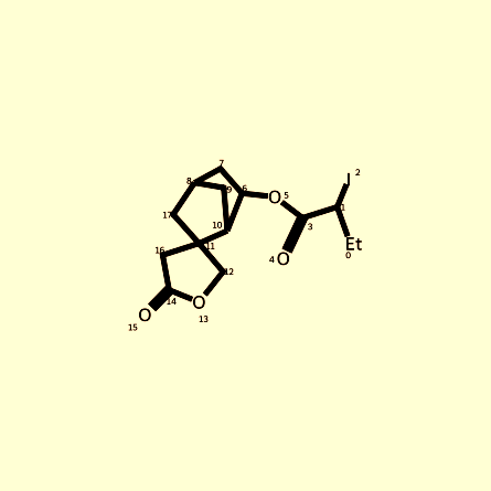 CCC(I)C(=O)OC1CC2CC1C1(COC(=O)C1)C2